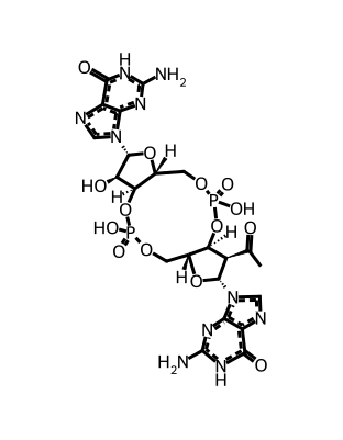 CC(=O)[C@@H]1[C@@H]2OP(=O)(O)OC[C@H]3O[C@@H](n4cnc5c(=O)[nH]c(N)nc54)[C@H](O)[C@@H]3OP(=O)(O)OC[C@H]2O[C@H]1n1cnc2c(=O)[nH]c(N)nc21